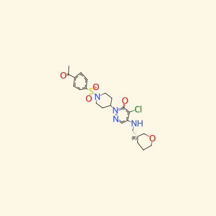 CC(=O)c1ccc(S(=O)(=O)N2CCC(n3ncc(NC[C@H]4CCCOC4)c(Cl)c3=O)CC2)cc1